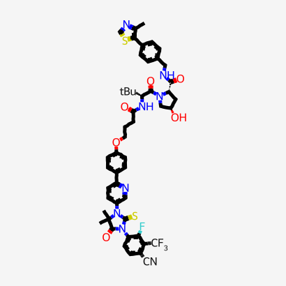 Cc1ncsc1-c1ccc(CNC(=O)[C@@H]2C[C@@H](O)CN2C(=O)[C@@H](NC(=O)CCCOc2ccc(-c3ccc(N4C(=S)N(c5ccc(C#N)c(C(F)(F)F)c5F)C(=O)C4(C)C)cn3)cc2)C(C)(C)C)cc1